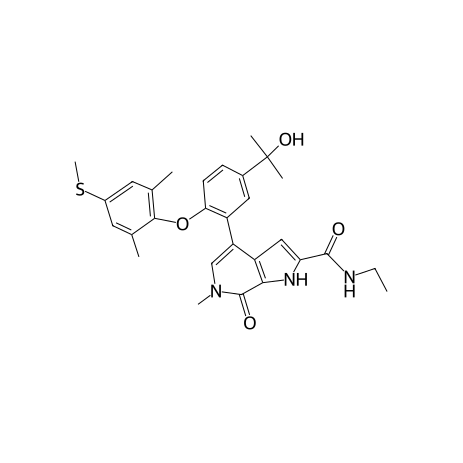 CCNC(=O)c1cc2c(-c3cc(C(C)(C)O)ccc3Oc3c(C)cc(SC)cc3C)cn(C)c(=O)c2[nH]1